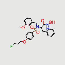 COc1cccc(CN(C(Cc2ccccc2)C(=O)NO)S(=O)(=O)c2ccc(OCCCF)cc2)c1